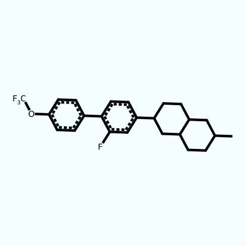 CC1CCC2CC(c3ccc(-c4ccc(OC(F)(F)F)cc4)c(F)c3)CCC2C1